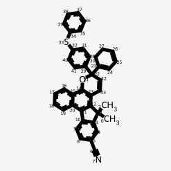 CC1(C)c2cc(C#N)ccc2-c2c1c1c(c3ccccc23)OC(C2=CC=CCC2)(c2ccc(Sc3ccccc3)cc2)C=C1